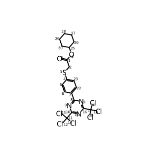 O=C(CSc1ccc(-c2nc(C(Cl)(Cl)Cl)nc(C(Cl)(Cl)Cl)n2)cc1)OC1CCCCC1